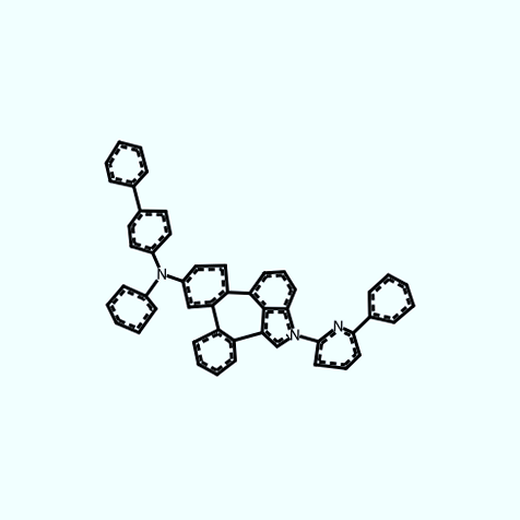 c1ccc(-c2ccc(N(c3ccccc3)c3ccc4c(c3)-c3ccccc3-c3cn(-c5cccc(-c6ccccc6)n5)c5cccc-4c35)cc2)cc1